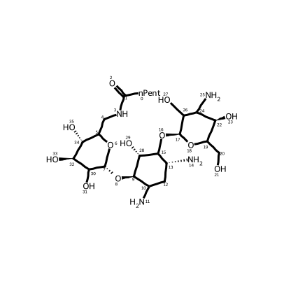 CCCCCC(=O)NCC1O[C@H](O[C@@H]2C(N)C[C@@H](N)C(O[C@@H]3OC(CO)[C@H](O)C(N)C3O)[C@H]2O)C(O)[C@@H](O)[C@@H]1O